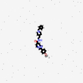 O=C(NCCC1CCN(Cc2ccccc2)CC1)c1ccn2cc(-c3ccc(OC(F)(F)F)cc3)nc2c1